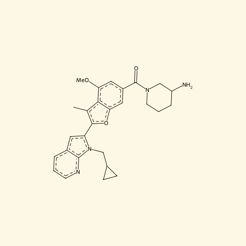 COc1cc(C(=O)N2CCCC(N)C2)cc2oc(-c3cc4cccnc4n3CC3CC3)c(C)c12